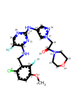 COc1ccc(Cl)c(CNc2nc(Nc3cnn(CC(=O)N4CCOCC4)c3)ncc2F)c1F